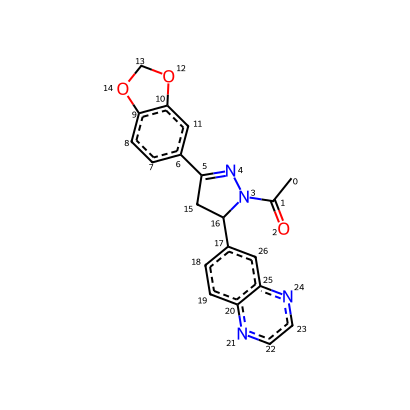 CC(=O)N1N=C(c2ccc3c(c2)OCO3)CC1c1ccc2nccnc2c1